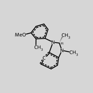 COc1cccc(N2c3ccccc3N(C)[C@H]2C)c1C